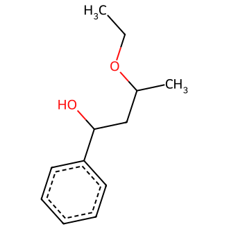 CCOC(C)CC(O)c1ccccc1